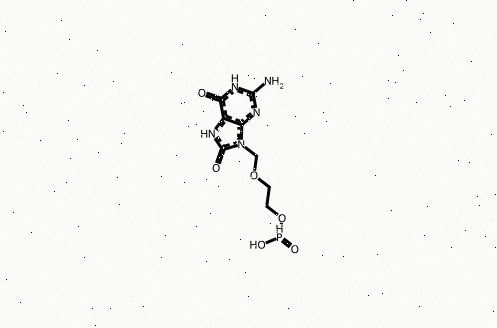 Nc1nc2c([nH]c(=O)n2COCCO[PH](=O)O)c(=O)[nH]1